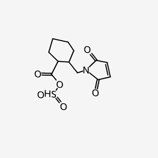 O=C(O[SH](=O)=O)C1CCCCC1CN1C(=O)C=CC1=O